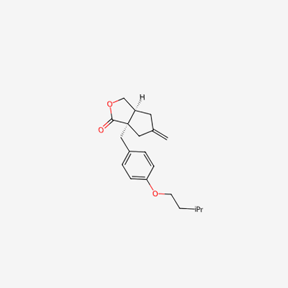 C=C1C[C@@H]2COC(=O)[C@]2(Cc2ccc(OCCC(C)C)cc2)C1